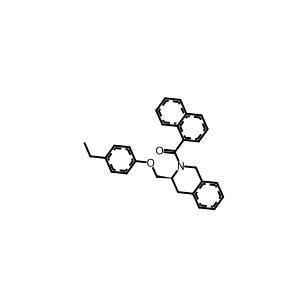 CCc1ccc(OC[C@@H]2Cc3ccccc3CN2C(=O)c2cccc3ccccc23)cc1